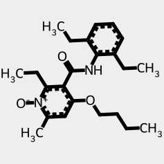 CCCCOc1cc(C)[n+]([O-])c(CC)c1C(=O)Nc1c(CC)cccc1CC